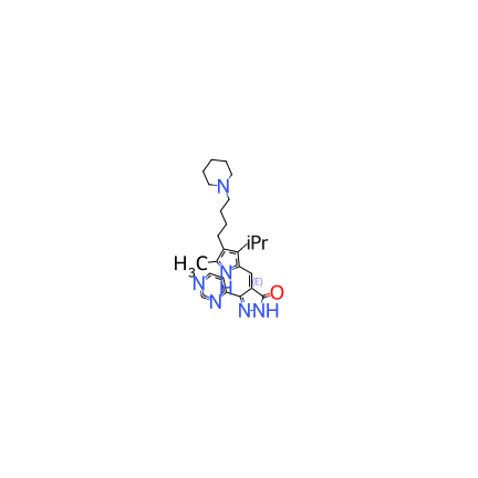 Cc1[nH]c(/C=C2/C(=O)NN=C2c2ccncn2)c(C(C)C)c1CCCCN1CCCCC1